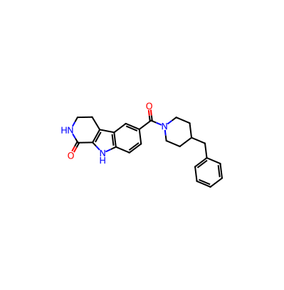 O=C1NCCc2c1[nH]c1ccc(C(=O)N3CCC(Cc4ccccc4)CC3)cc21